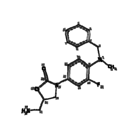 CN(Cc1ccccc1)c1ccc(N2CC(CN)OC2=O)cc1F